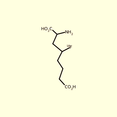 NC(CC([18F])CCCC(=O)O)C(=O)O